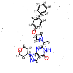 CC(c1nc2c(cnn2C2CCOCC2)c(=O)[nH]1)N1CC(Oc2ccc(-c3ccccc3)cc2)C1